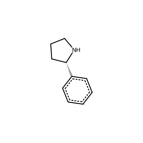 [c]1ccc([C@@H]2CCCN2)cc1